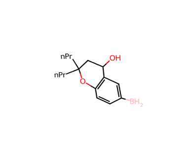 Bc1ccc2c(c1)C(O)CC(CCC)(CCC)O2